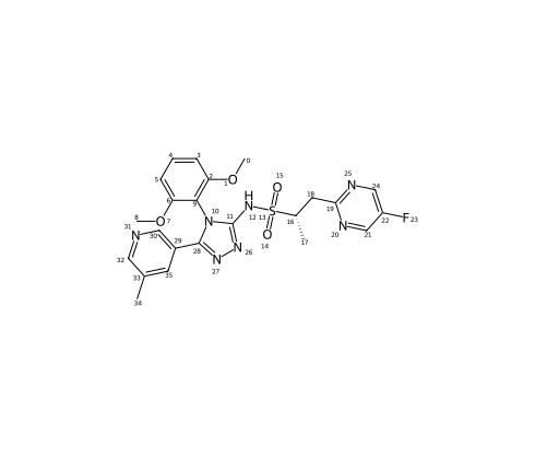 COc1cccc(OC)c1-n1c(NS(=O)(=O)[C@@H](C)Cc2ncc(F)cn2)nnc1-c1cncc(C)c1